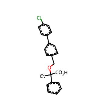 CCC(OCc1ccc(-c2ccc(Cl)cc2)cc1)(C(=O)O)c1ccccc1